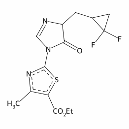 CCOC(=O)c1sc(N2C=NC(CC3CC3(F)F)C2=O)nc1C